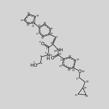 O=C(NCCO)/C(=C\c1ccc(-n2cccc2)cc1)NC(=O)c1ccc(OCCC2CC2)cc1